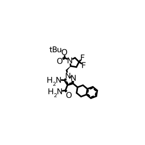 CC(C)(C)OC(=O)N1CC(F)(F)C[C@H]1Cn1nc(C2CCc3ccccc3C2)c(C(N)=O)c1N